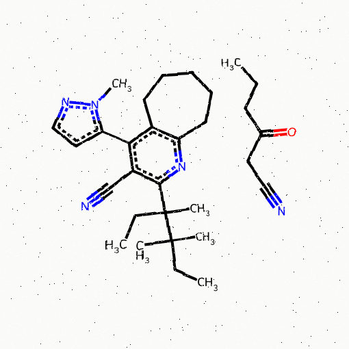 CCC(C)(C)C(C)(CC)c1nc2c(c(-c3ccnn3C)c1C#N)CCCCC2.CCCC(=O)CC#N